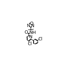 CC(C)(NC(=O)c1ccc(Cl)c(-c2cccc(Cl)c2)n1)c1ncon1